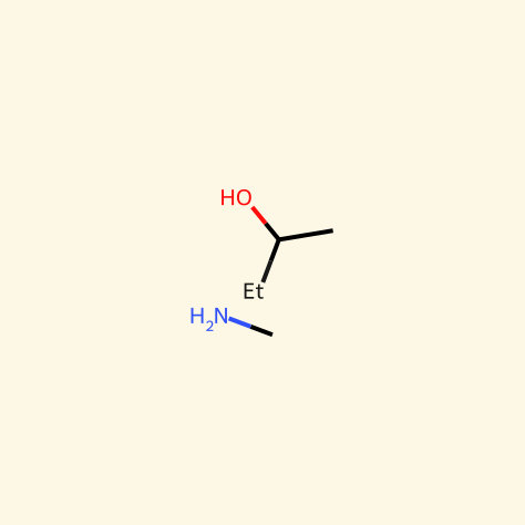 CCC(C)O.CN